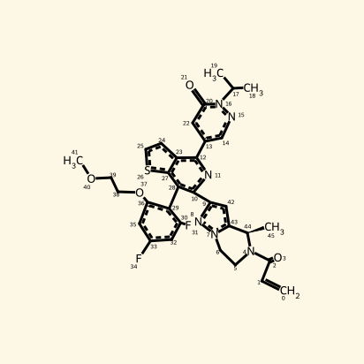 C=CC(=O)N1CCn2nc(-c3nc(-c4cnn(C(C)C)c(=O)c4)c4ccsc4c3-c3c(F)cc(F)cc3OCCOC)cc2[C@H]1C